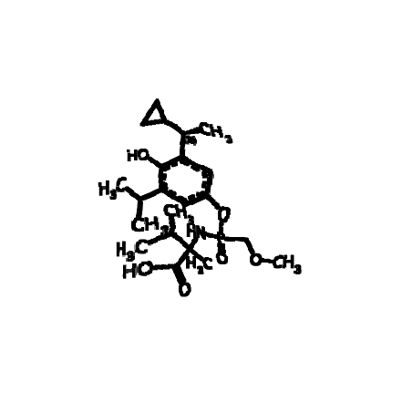 COCP(=O)(NC(C)(C(=O)O)C(C)C)Oc1cc(C(C)C)c(O)c([C@H](C)C2CC2)c1